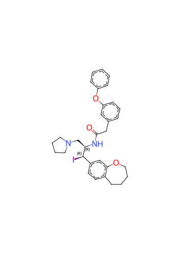 O=C(Cc1cccc(Oc2ccccc2)c1)N[C@H](CN1CCCC1)[C@H](I)c1ccc2c(c1)OCCCC2